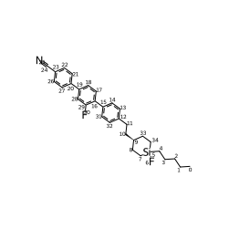 CCCCC[Si@]1(F)CC[C@@H](CCc2ccc(-c3ccc(-c4ccc(C#N)cc4)cc3F)cc2)CC1